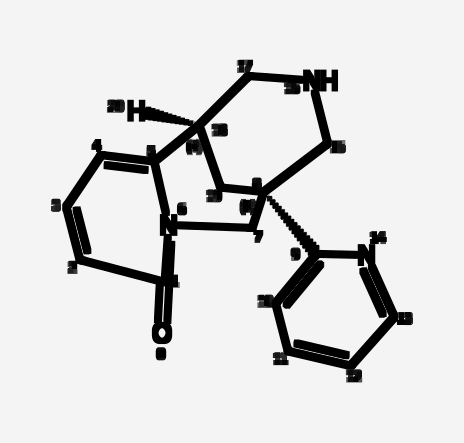 O=c1cccc2n1C[C@]1(c3ccccn3)CNC[C@H]2C1